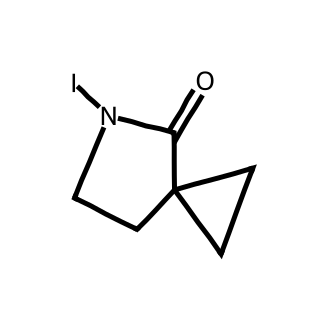 O=C1N(I)CCC12CC2